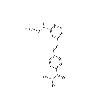 CCC(CC)C(=O)c1ccc(C=Cc2ccnc(C(C)OS(=O)(=O)O)c2)cc1